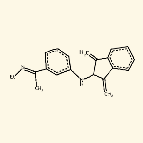 C=C1c2ccccc2C(=C)C1Nc1cccc(/C(C)=N/CC)c1